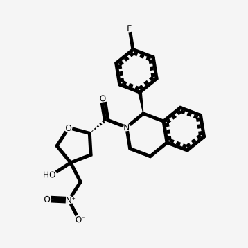 O=C([C@@H]1CC(O)(C[N+](=O)[O-])CO1)N1CCc2ccccc2[C@@H]1c1ccc(F)cc1